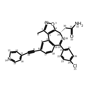 Cc1noc2c1-c1cc(C#Cc3ccncc3)ccc1C(c1ccc(Cl)cc1)=N[C@H]2CC(N)=O